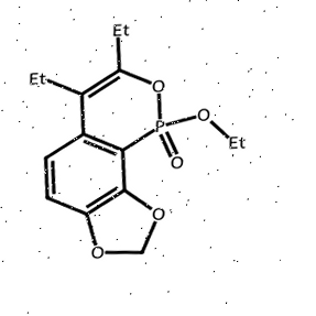 CCOP1(=O)OC(CC)=C(CC)c2ccc3c(c21)OCO3